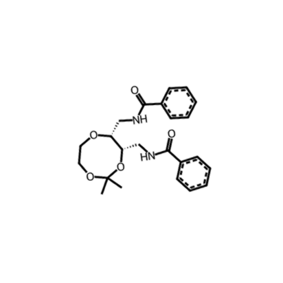 CC1(C)OCCO[C@H](CNC(=O)c2ccccc2)[C@H](CNC(=O)c2ccccc2)O1